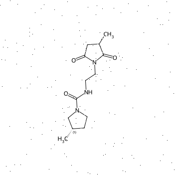 CC1CC(=O)N(CCNC(=O)N2CC[C@H](C)C2)C1=O